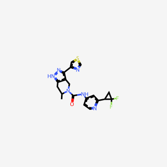 CC1Cc2[nH]nc(-c3cscn3)c2CN1C(=O)Nc1ccnc(C2CC2(F)F)c1